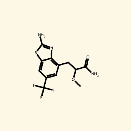 COC(Cc1cc(C(F)(F)F)cc2sc(N)nc12)C(N)=O